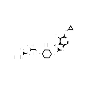 C[C@@H](CO[C@H]1CC[C@H](Oc2nc3cnc(OC4CC4)c(F)c3n2C)CC1)NC(N)=O